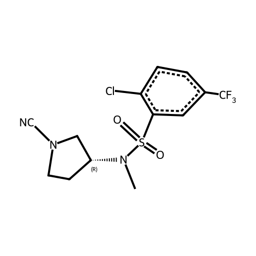 CN([C@@H]1CCN(C#N)C1)S(=O)(=O)c1cc(C(F)(F)F)ccc1Cl